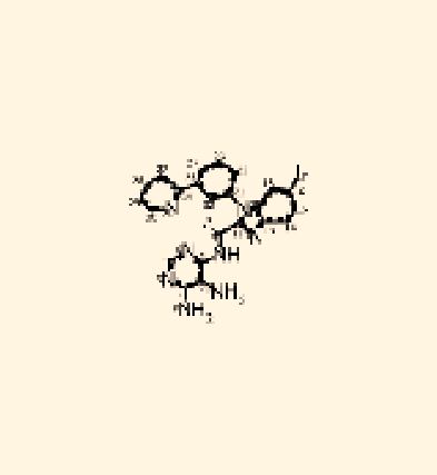 C[C@@H](Nc1ncnc(N)c1N)c1nc2ccc(F)cc2n1-c1cccc(-c2ccccn2)c1